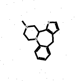 CN1CCN2c3ccccc3Cc3ccsc3C2C1